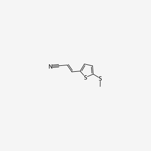 CSc1ccc(/C=C/C#N)s1